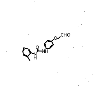 Cc1ccccc1NC(=O)Nc1ccc(OC[C]=O)cc1